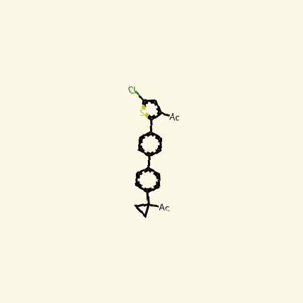 CC(=O)c1cc(Cl)sc1-c1ccc(-c2ccc(C3(C(C)=O)CC3)cc2)cc1